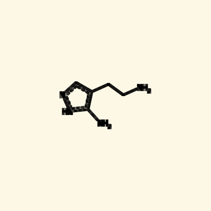 NCCc1cn[nH]c1N